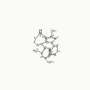 Cc1ccc(C2SCCNc3c2c(-c2ccccn2)nn3C)c(C)c1